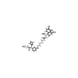 O=C(O)NC(c1cccc(OCCCCCCNC[C@H](O)c2ccc(O)c3[nH]c(=O)ccc23)c1)c1cccs1